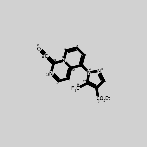 CCOC(=O)c1cnn(C2=CC=CN3C(=C=O)N=CC=C23)c1C(F)(F)F